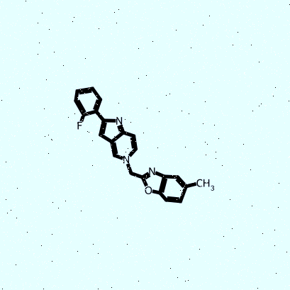 Cc1ccc2oc(Cn3ccc4nc(-c5ccccc5F)cc-4c3)nc2c1